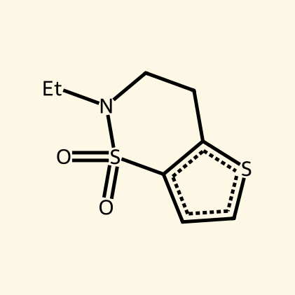 CCN1CCc2sccc2S1(=O)=O